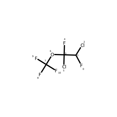 FC(Cl)C(F)(Cl)OC(F)(F)F